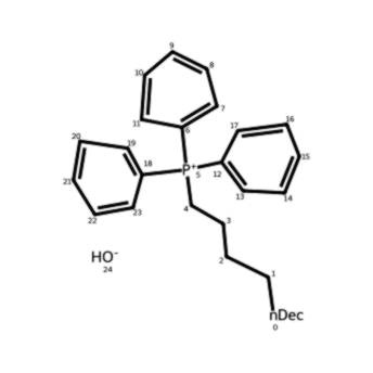 CCCCCCCCCCCCCC[P+](c1ccccc1)(c1ccccc1)c1ccccc1.[OH-]